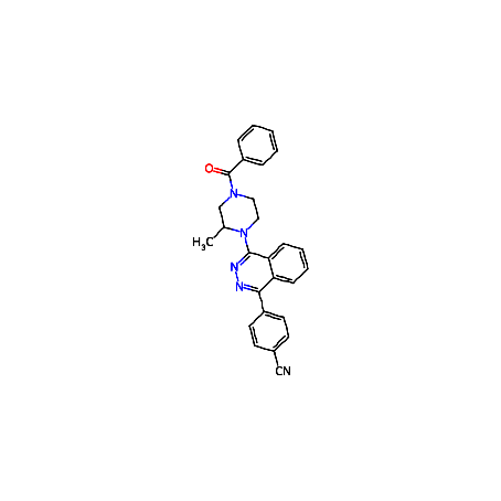 CC1CN(C(=O)c2ccccc2)CCN1c1nnc(-c2ccc(C#N)cc2)c2ccccc12